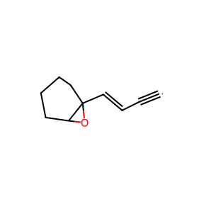 [C]#CC=CC12CCCCC1O2